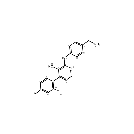 Cc1ccc(-c2ncnc(Nc3ccc(CN)cc3)c2O)c(Cl)c1